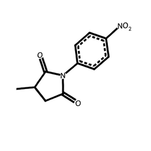 CC1CC(=O)N(c2ccc([N+](=O)[O-])cc2)C1=O